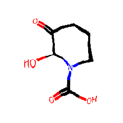 O=C1CCCN(C(=O)O)[C@H]1O